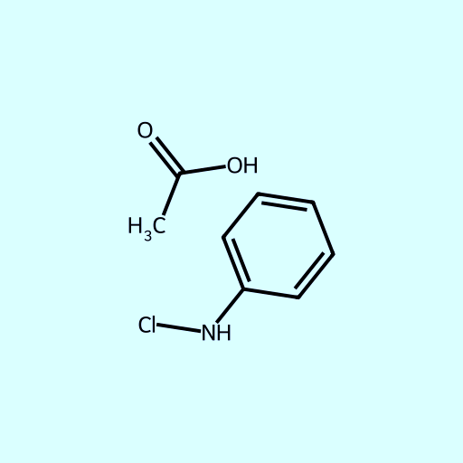 CC(=O)O.ClNc1ccccc1